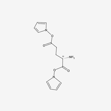 N[C@@H](CCC(=O)On1cccc1)C(=O)On1cccc1